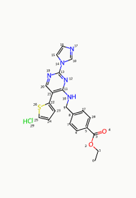 CCOC(=O)c1ccc(CNc2nc(-n3ccnc3)ncc2-c2cccs2)cc1.Cl